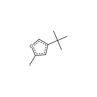 CC(C)(C)c1coc(I)c1